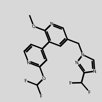 COc1ncc(Cn2cnc(C(F)F)n2)cc1-c1ccnc(OC(F)F)c1